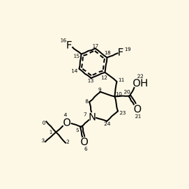 CC(C)(C)OC(=O)N1CCC(Cc2ccc(F)cc2F)(C(=O)O)CC1